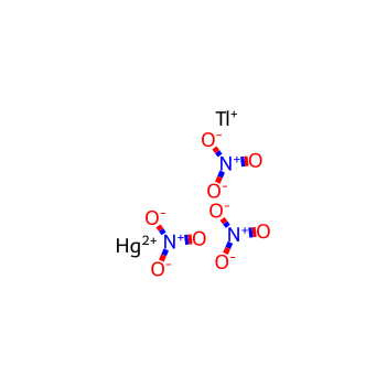 O=[N+]([O-])[O-].O=[N+]([O-])[O-].O=[N+]([O-])[O-].[Hg+2].[Tl+]